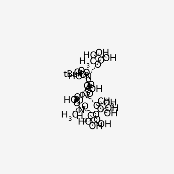 CC1C(OCCCCC(=O)N2C[C@H](C)C[C@H]2COP(=O)(O)O[C@@H]2C[C@@H](COP(=O)(O)O[C@@H]3C[C@@H](COP(=O)(O)OC(C)(C)C)N(C(=O)CCCCOC4OC(CO)C(O)C(O)C4C)C3)N(C(=O)CCCCOC3OC(CO)C(O)C(O)C3C)C2)OC(CO)C(O)C1O